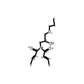 [CH2]CCOCC(O)CN(C(=O)C=CC)C(=O)C=CC